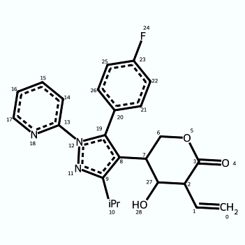 C=CC1C(=O)OCC(c2c(C(C)C)nn(-c3ccccn3)c2-c2ccc(F)cc2)C1O